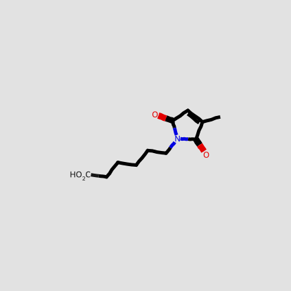 CC1=CC(=O)N(CCCCCC(=O)O)C1=O